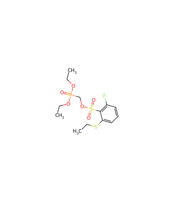 CCOP(=O)(COS(=O)(=O)c1c(F)cccc1SCC)OCC